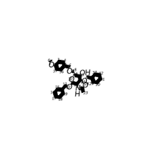 COc1ccc(COC[C@H]2O[C@H](OCc3ccccc3)[C@H](NC(C)=O)[C@@H](OCc3ccccc3)[C@@H]2O)cc1